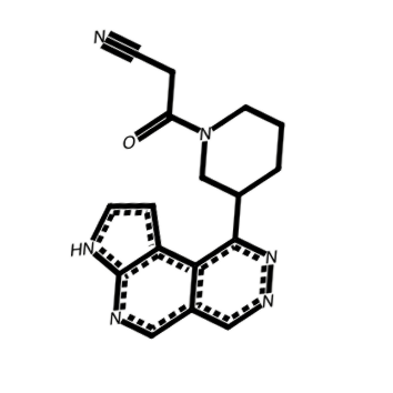 N#CCC(=O)N1CCCC(c2nncc3cnc4[nH]ccc4c23)C1